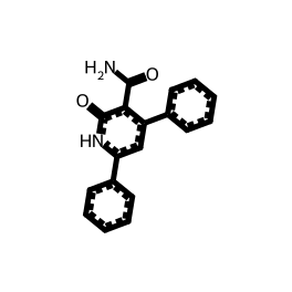 NC(=O)c1c(-c2ccccc2)cc(-c2ccccc2)[nH]c1=O